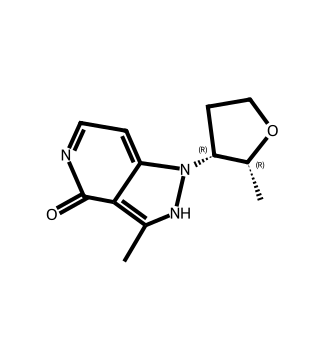 Cc1[nH]n([C@@H]2CCO[C@@H]2C)c2ccnc(=O)c1-2